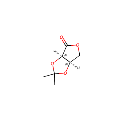 CC1(C)O[C@@H]2COC(=O)[C@]2(C)O1